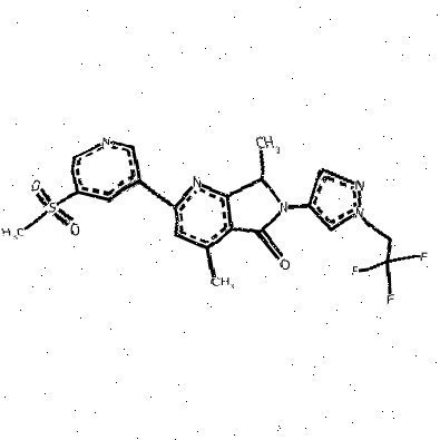 Cc1cc(-c2cncc(S(C)(=O)=O)c2)nc2c1C(=O)N(c1cnn(CC(F)(F)F)c1)C2C